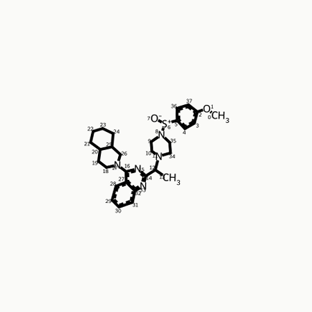 COc1ccc([S+]([O-])N2CCN(C(C)c3nc(N4CCC5CCCCC5C4)c4ccccc4n3)CC2)cc1